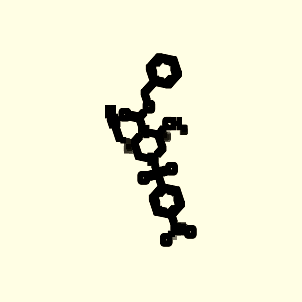 C[C@H]1CN(S(=O)(=O)c2ccc([N+](=O)[O-])cc2)C[C@H](CC#N)N1C(=O)OCc1ccccc1